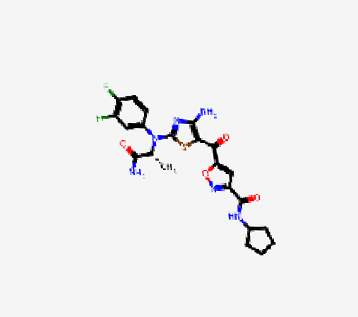 C[C@H](C(N)=O)N(c1ccc(F)c(F)c1)c1nc(N)c(C(=O)c2cc(C(=O)NC3CCCC3)no2)s1